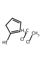 CCl.CCl.[Hf][C]1=CC=CC1